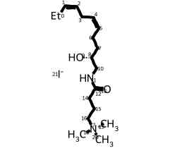 CC/C=C\C/C=C\CC[C@@H](O)CNC(=O)CCC[N+](C)(C)C.[I-]